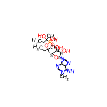 CCC(C)(C[C@H]1O[C@@H](n2cnc3c(=N)n(C)cnc32)[C@H](O)[C@@H]1O)OP(=O)(O)C(C)(O)CC